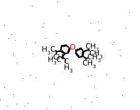 CC(C)c1ccc(Oc2ccc(C(C)C)c(C(C)C)c2)cc1C(C)C